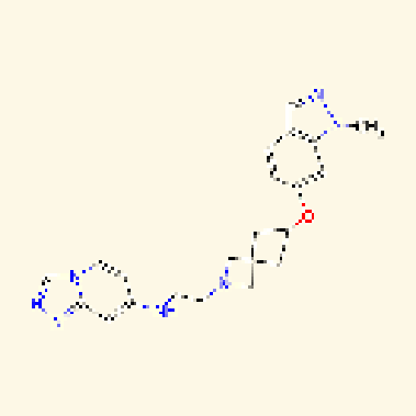 Cn1ncc2ccc(OC3CC4(C3)CN(CCNc3ccn5cnnc5c3)C4)cc21